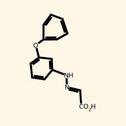 O=C(O)/C=N/Nc1cccc(Oc2ccccc2)c1